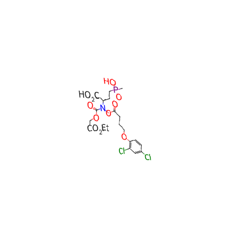 CCOC(=O)COC(=O)N(OC(=O)CCCOc1ccc(Cl)cc1Cl)C(CCP(C)(=O)O)C(=O)O